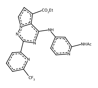 CCOC(=O)c1ccn2nc(-c3cccc(C(F)(F)F)n3)nc(Nc3ccnc(NC(C)=O)c3)c12